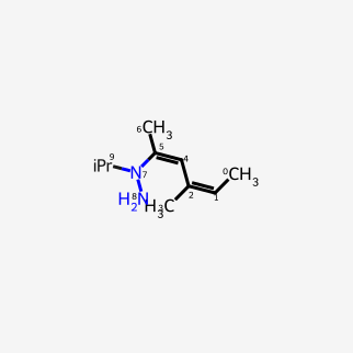 C/C=C(C)\C=C(\C)N(N)C(C)C